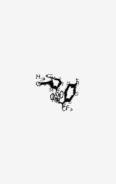 Cn1ccc(S(=O)(=O)NC(c2ccc(F)cc2)C(F)(F)F)cc1=O